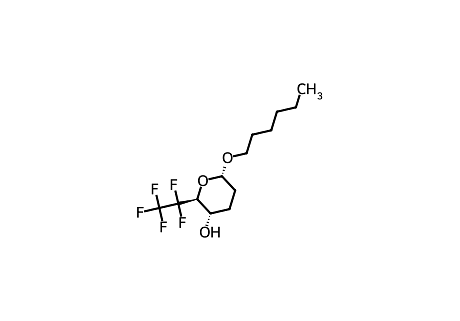 CCCCCCO[C@@H]1CC[C@H](O)[C@@H](C(F)(F)C(F)(F)F)O1